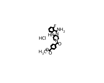 COC(=O)c1ccc(C(=O)N2CCC3(CC2)N=C(N)c2c(F)cccc2N3)cc1.Cl